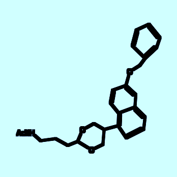 CC(=O)NCCCC1OCC(c2cccc3cc(OCc4ccccc4)ccc23)CO1